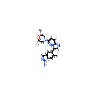 Cc1cc2[nH]ncc2cc1-c1cnc2ccc(N3C[C@@H](C)O[C@@H](C)C3)nn12